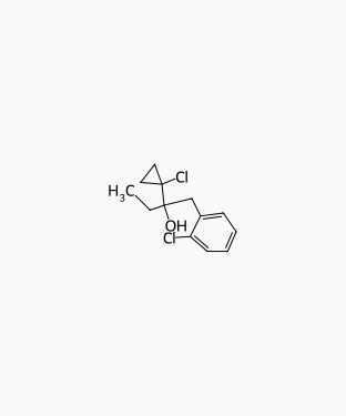 CCC(O)(Cc1ccccc1Cl)C1(Cl)CC1